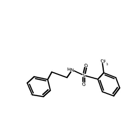 O=S(=O)(NCCc1cc[c]cc1)c1ccccc1C(F)(F)F